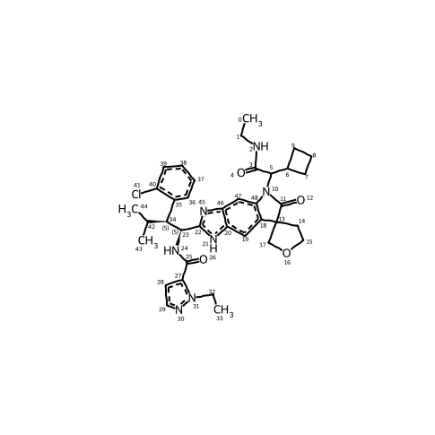 CCNC(=O)C(C1CCC1)N1C(=O)C2(CCOC2)c2cc3[nH]c([C@@H](NC(=O)c4ccnn4CC)[C@H](c4ccccc4Cl)C(C)C)nc3cc21